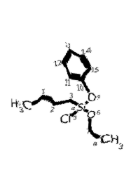 CCCC[Si](Cl)(OCC)Oc1ccccc1